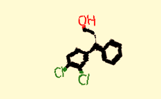 OCC[C@H](c1ccccc1)c1ccc(Cl)c(Cl)c1